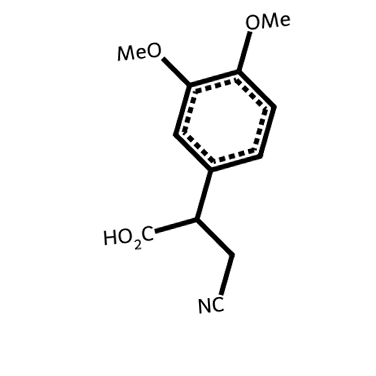 COc1ccc(C(CC#N)C(=O)O)cc1OC